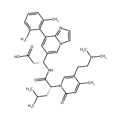 Cc1cc(=O)n([C@H](CC(C)C)C(=O)N[C@H](CC(=O)O)c2cc(-c3c(C)cccc3C)c3nccn3c2)cc1CCN(C)C